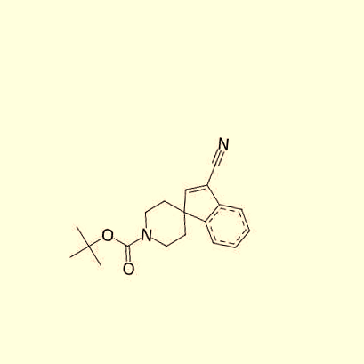 CC(C)(C)OC(=O)N1CCC2(C=C(C#N)c3ccccc32)CC1